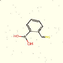 OB(O)c1ccccc1C=S